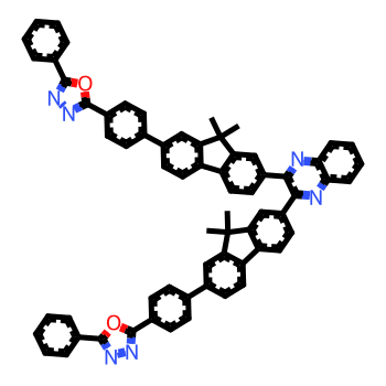 CC1(C)c2cc(-c3ccc(-c4nnc(-c5ccccc5)o4)cc3)ccc2-c2ccc(-c3nc4ccccc4nc3-c3ccc4c(c3)C(C)(C)c3cc(-c5ccc(-c6nnc(-c7ccccc7)o6)cc5)ccc3-4)cc21